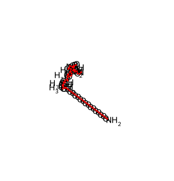 CC(C)[C@H](NC(=O)CCOCCOCCOCCOCCOCCOCCOCCOCCOCCOCCOCCOCCOCCOCCOCCOCCN)C(=O)N[C@@H](C)C(=O)Nc1ccc(COC(=O)N(C)Cc2ccccc2C(=O)Nc2nc3c(ncn3[C@@H]3O[C@H](O[PH2]=O)[C@@H](O)[C@H]3OP(=O)(S)OC[C@@H]3CC[C@H](Oc4ccncn4)C3)c(=O)[nH]2)cc1